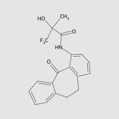 CC(O)(C(=O)Nc1cccc2c1C(=O)c1ccccc1CC2)C(F)(F)F